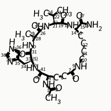 CC(=O)NC1CCC(=O)NCCCCC(C(N)=O)NC(=O)[C@H](C(C)C)NC(=O)[C@H](C)NC(=O)[C@H](Cc2c[nH]cn2)NC1=O